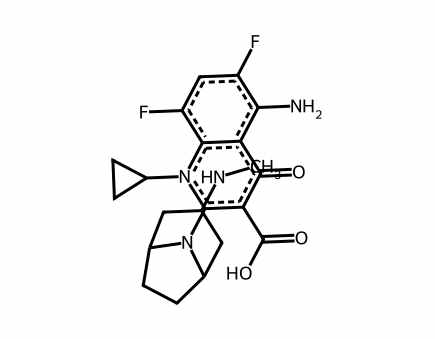 CNC1CC2CCC(C1)N2c1c(C(=O)O)c(=O)c2c(N)c(F)cc(F)c2n1C1CC1